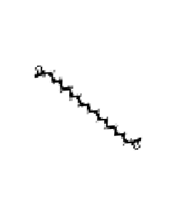 C(CCCCCCCCCC1CO1)CCCCCCCCC1CO1